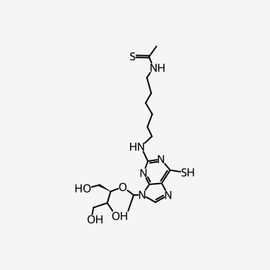 CC(=S)NCCCCCCNc1nc(S)c2ncn(C(C)O[C@H](CO)C(O)CO)c2n1